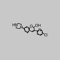 OC1Oc2cc(N3CCNCC3)ccc2C=C1c1ccc(Cl)cn1